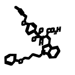 CC#CCOc1ccc(S(=O)(=O)N[C@H](Cc2cn(CCCCOc3ccccc3)c3ccccc23)C(=O)O)cc1